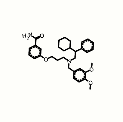 COc1ccc(CN(CCCOc2cccc(C(N)=O)c2)CC(c2ccccc2)C2CCCCC2)cc1OC